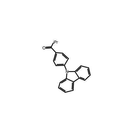 CC(C)C(=O)c1ccc(-n2c3ccccc3c3ccccc32)cc1